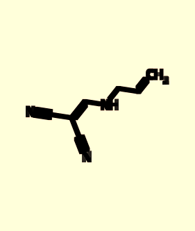 C=CCNC=C(C#N)C#N